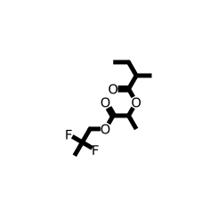 CCC(C)C(=O)OC(C)C(=O)OCC(C)(F)F